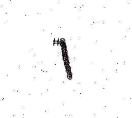 COCCOCCOCCOCCOCCOCCOCCOCCOCCOCCOCCOCCOCC(O)CO